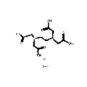 O=C(O)CN(CCN(CC(=O)O)CC(=O)O)CC(=O)O.[Fe+3].[K+]